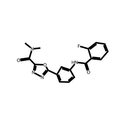 CN(C)C(=O)c1nnc(-c2cccc(NC(=O)c3ccccc3F)c2)o1